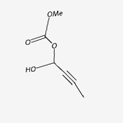 CC#CC(O)OC(=O)OC